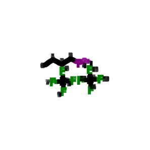 CCCC[P+2].F[B-](F)(F)F.F[B-](F)(F)F